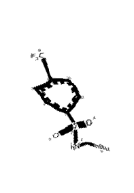 CCCCNS(=O)(=O)c1ccc(C(F)(F)F)cc1